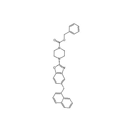 O=C(OCc1ccccc1)N1CCN(c2nc3cc(Cc4cccc5ccccc45)ccc3o2)CC1